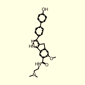 COc1cc2c(cc1C(=O)NCCN(C)C)-c1[nH]nc(-c3ccc(-c4ccc(O)cc4)cc3)c1C2